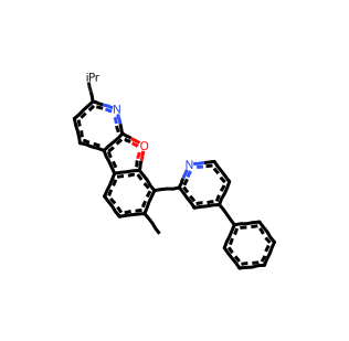 Cc1ccc2c(oc3nc(C(C)C)ccc32)c1-c1cc(-c2ccccc2)ccn1